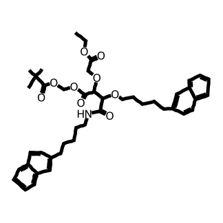 CCOC(=O)COC(C(=O)OCOC(=O)C(C)(C)C)C(OCCCCCc1ccc2ccccc2c1)C(=O)NCCCCCc1ccc2ccccc2c1